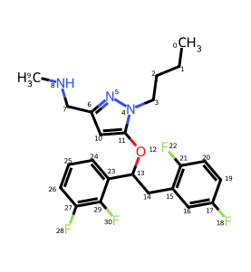 CCCCn1nc(CNC)cc1OC(Cc1cc(F)ccc1F)c1cccc(F)c1F